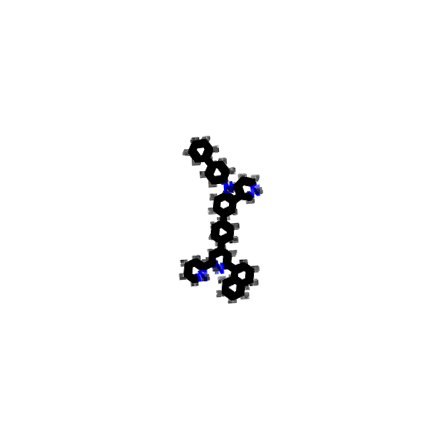 C1=C(c2ccc(-c3cc(-c4ccccn4)nc(-c4cccc5ccccc45)c3)cc2)CCc2c1c1cnccc1n2-c1ccc(-c2ccccc2)cc1